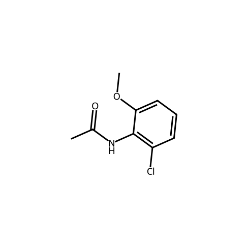 COc1cccc(Cl)c1NC(C)=O